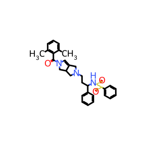 Cc1cccc(C)c1C(=O)N1C=C2CN(CCC(NS(=O)(=O)c3ccccc3)c3ccccc3)CC2C1